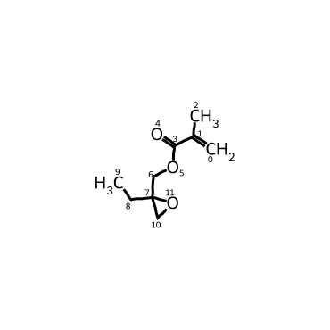 C=C(C)C(=O)OCC1(CC)CO1